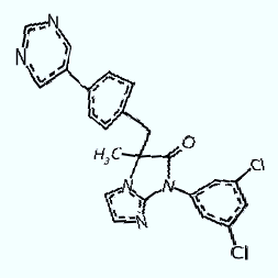 CC1(Cc2ccc(-c3cncnc3)cc2)C(=O)N(c2cc(Cl)cc(Cl)c2)c2nccn21